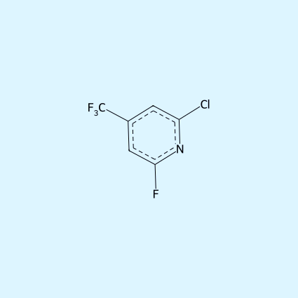 Fc1cc(C(F)(F)F)cc(Cl)n1